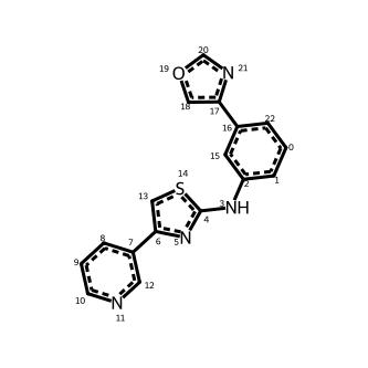 c1cc(Nc2nc(-c3cccnc3)cs2)cc(-c2cocn2)c1